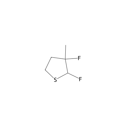 CC1(F)CCSC1F